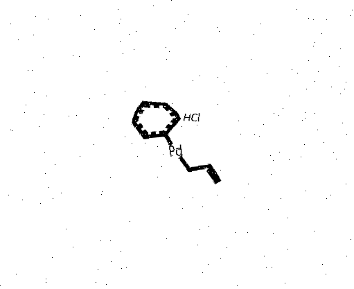 C=C[CH2][Pd][c]1ccccc1.Cl